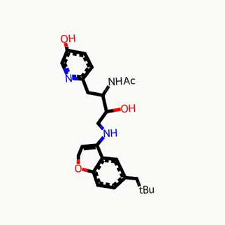 CC(=O)NC(Cc1ccc(O)cn1)C(O)CNC1=CCOc2ccc(CC(C)(C)C)cc21